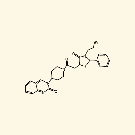 CC(C)CCN1C(=O)C(CC(=O)N2CCC(n3cc4ccccc4nc3=O)CC2)SC1c1ccccc1